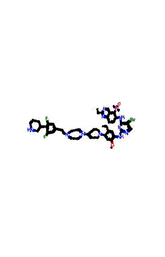 CCc1ncc2c(P(C)(C)=O)c(Nc3nc(Nc4cc(CC)c(N5CCC(N6CCN(CCc7cc(F)c(C8CCCNC8)c(F)c7)CC6)CC5)cc4OC)ncc3Br)ccc2n1